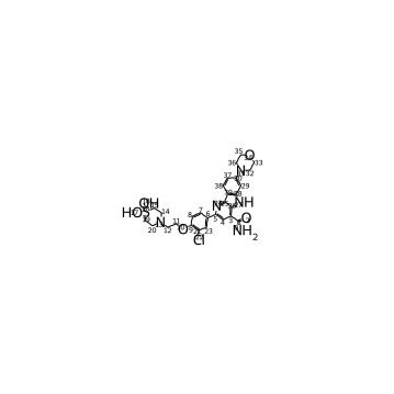 NC(=O)c1cc(-c2ccc(OCCN3CCS(O)(O)CC3)c(Cl)c2)nc2c1[nH]c1cc(N3CCOCC3)ccc12